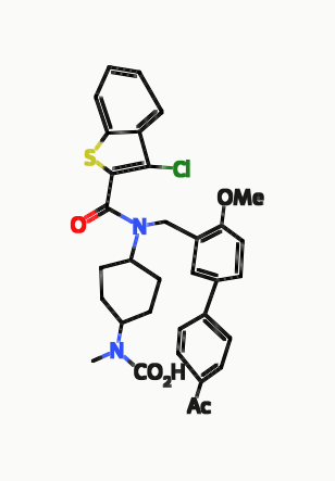 COc1ccc(-c2ccc(C(C)=O)cc2)cc1CN(C(=O)c1sc2ccccc2c1Cl)C1CCC(N(C)C(=O)O)CC1